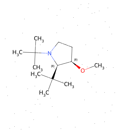 CO[C@@H]1CCN(C(C)(C)C)[C@@H]1C(C)(C)C